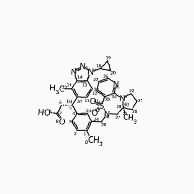 Cc1ccc([C@H](CC(=O)O)c2ccc3c(nnn3C3CC3)c2C)cc1CN1C[C@@]2(C)CCCN2c2ncccc2S1(=O)=O